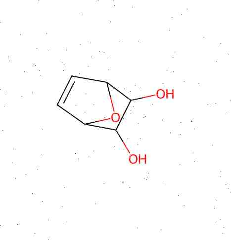 OC1C2C=CC(O2)C1O